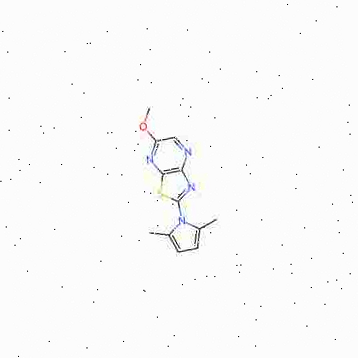 COc1cnc2nc(-n3c(C)ccc3C)sc2n1